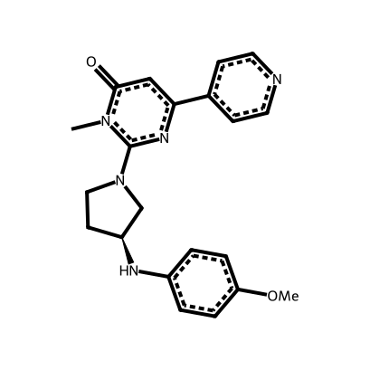 COc1ccc(N[C@H]2CCN(c3nc(-c4ccncc4)cc(=O)n3C)C2)cc1